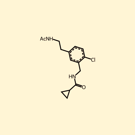 CC(=O)NCCc1ccc(Cl)c(CNC(=O)C2CC2)c1